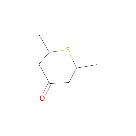 CC1CC(=O)CC(C)S1